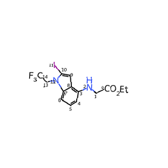 CCOC(=O)CNc1cccc2c1cc(I)n2CC(F)(F)F